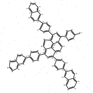 Fc1ccc(-c2cc(-c3ccc(-c4ccc5ccccc5c4)cc3)c3ccc4c(-c5ccc(-c6ccc7ccccc7c6)cc5)cc(-c5ccc(-c6ccc7ccccc7c6)cc5)c5ccc2c3c54)cc1